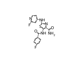 NC(=O)c1nc(Nc2ccnc(F)c2)sc1NC(=O)c1ccc(F)cc1